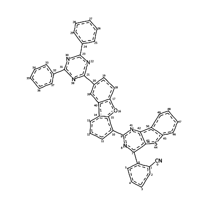 N#Cc1ccccc1-c1nc(-c2cccc3c2oc2ccc(-c4nc(-c5ccccc5)nc(-c5ccccc5)n4)cc23)nc2c1sc1ccccc12